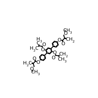 C=C(C)C(=O)Oc1cc(-c2ccc(OC(=O)C(=C)COC)cc2)c(OC(=O)C(=C)C)cc1-c1ccc(OC(=O)C(=C)COC)cc1